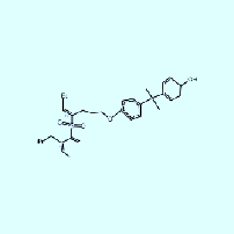 C=C(/C(=C\C)CC(C)C)S(=O)(=O)/C(=C/CC)CCCOc1ccc(C(C)(C)C2=CCC(O)C=C2)cc1